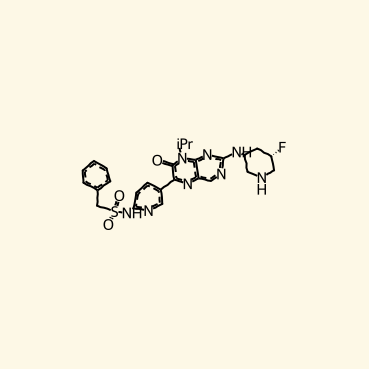 CC(C)n1c(=O)c(-c2ccc(NS(=O)(=O)Cc3ccccc3)nc2)nc2cnc(N[C@@H]3CNC[C@@H](F)C3)nc21